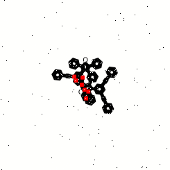 O=C1C(c2ccccc2)=C(c2cc(C#Cc3ccccc3)cc(C#Cc3ccccc3)c2)C(c2cccc(C3=C(c4ccccc4)C(=O)C(c4ccccc4)=C3c3cc(C#Cc4ccccc4)cc(C#Cc4ccccc4)c3)c2)=C1c1ccccc1